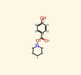 O=C(ON1CCCCC1)c1ccc(O)cc1